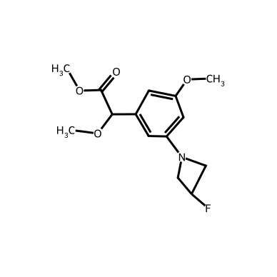 COC(=O)C(OC)c1cc(OC)cc(N2CC(F)C2)c1